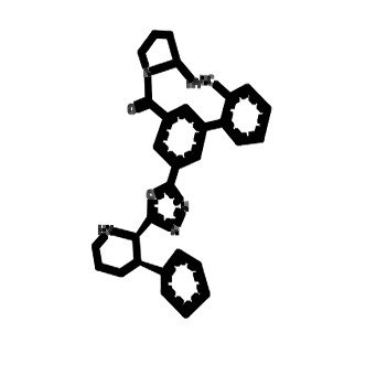 CCCC1CCCN1C(=O)c1cc(-c2nnc([C@@H]3NCCC[C@@H]3c3ccccc3)o2)cc(-c2ccccc2C#N)c1